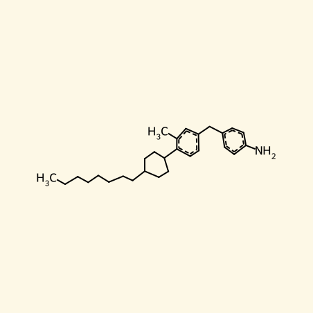 CCCCCCCCC1CCC(c2ccc(Cc3ccc(N)cc3)cc2C)CC1